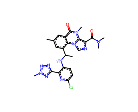 Cc1cc(C(C)Nc2ccc(Cl)nc2-c2nnn(C)n2)c2c(c1)c(=O)n(C)c1c(C(=O)N(C)C)ncn21